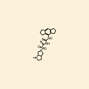 CN1CCC2CN(S(=O)(=O)c3nnc(Nc4c5c(cc6c4CCC6)CCC5)[nH]3)CC21